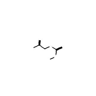 C=C(NCC(C)=O)OC